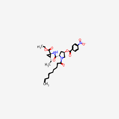 C=CCCCCCCC(=O)N1C[C@H](OC(=O)c2ccc([N+](=O)[O-])cc2)C[C@H]1C(=O)N[C@]1(C(=O)OCC)C[C@H]1CC